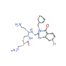 NCCC1CCC(C(CCN)NCc2nc3cc(Cl)ccc3c(=O)n2Cc2ccccc2)NC1=O